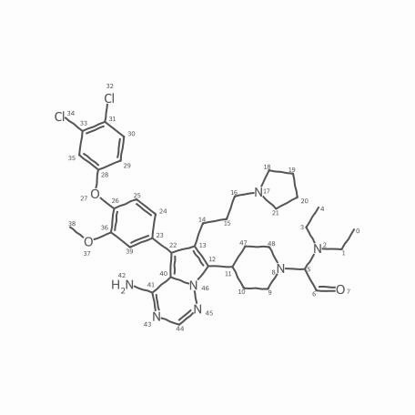 CCN(CC)C(C=O)N1CCC(c2c(CCCN3CCCC3)c(-c3ccc(Oc4ccc(Cl)c(Cl)c4)c(OC)c3)c3c(N)ncnn23)CC1